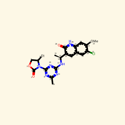 CCC1COC(=O)N1c1nc(C)nc(N[C@@H](C)c2cc3cc(Cl)c(OC)cc3[nH]c2=O)n1